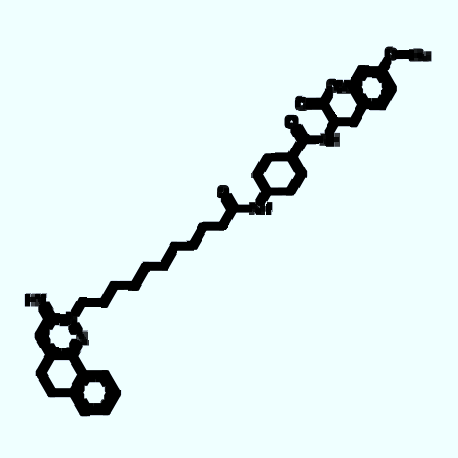 COC(=O)C(Cc1ccc(OC(C)(C)C)cc1)NC(=O)C1CCC(NC(=O)CCCCCCCCCCn2nc3c(cc2=N)CCc2ccccc2-3)CC1